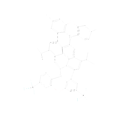 Cc1ccc2c(c1)Oc1cc(C)cc3c1B2c1cc2c(C(C)C)cc4c5c(cc6c(C(C)C)cc-3c1c6c25)B1c2ccc(C(F)(F)F)cc2Oc2cc(C(F)(F)F)cc-4c21